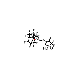 O=C(OCCOC12C(F)(F)C3(F)C(F)C(F)(C(F)(F)C(F)(C3(F)F)C1(F)F)C2(F)F)C(F)(F)S(=O)(=O)O